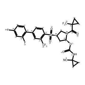 N#CC1(NC(=O)O[C@H]2C[C@@H](S(=O)(=O)c3ccc(-c4ccc(F)cc4F)cc3C(F)(F)F)CN2C(=O)C2(C(F)(F)F)CC2)CC1